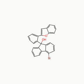 OC1(c2ccccc2-c2cc3ccccc3o2)c2ccccc2-c2c(Br)cccc21